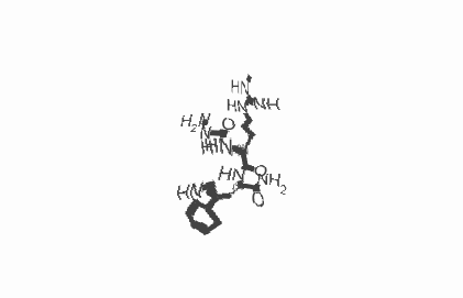 CNC(=N)NCCC[C@H](NC(=O)NN)C(=O)N[C@@H](Cc1c[nH]c2ccccc12)C(N)=O